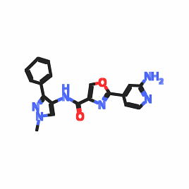 Cn1cc(NC(=O)c2coc(-c3ccnc(N)c3)n2)c(-c2ccccc2)n1